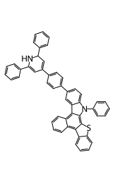 C1=C(c2ccc(-c3ccc4c(c3)c3c5ccccc5c5c6ccccc6sc5c3n4-c3ccccc3)cc2)C=C(c2ccccc2)NC1c1ccccc1